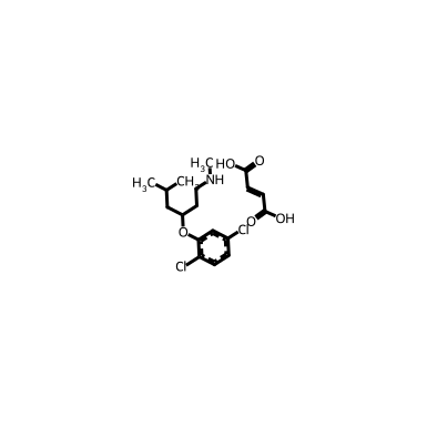 CNCCC(CC(C)C)Oc1cc(Cl)ccc1Cl.O=C(O)C=CC(=O)O